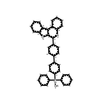 O[PH](c1ccccc1)(c1ccccc1)c1ccc(-c2ccc(-c3nc4ccccc4c4c3oc3ccccc34)cc2)cc1